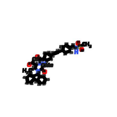 COC(=O)[C@@H](NC(=O)c1ccc(C#Cc2ccc(CNS(C)(=O)=O)cc2)cc1)[C@@H](C)N(C(=O)OC)C1c2ccccc2-c2ccccc21